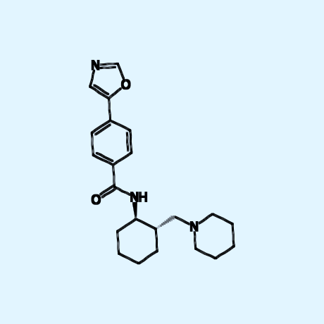 O=C(N[C@@H]1CCCC[C@H]1CN1CCCCC1)c1ccc(-c2cnco2)cc1